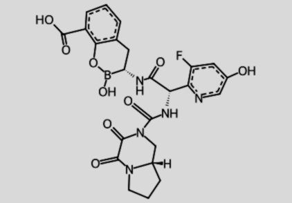 O=C(O)c1cccc2c1OB(O)[C@@H](NC(=O)[C@@H](NC(=O)N1C[C@@H]3CCCN3C(=O)C1=O)c1ncc(O)cc1F)C2